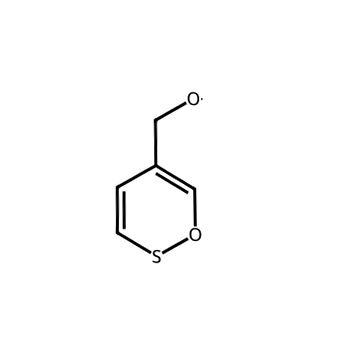 [O]CC1=COSC=C1